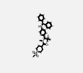 CN(C(=O)C1CCN(S(C)(=O)=O)CC1)[C@@H](c1ccc(NC(c2ccccc2)c2ccccc2)cn1)C(F)(F)F